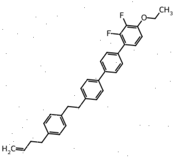 C=CCCc1ccc(CCc2ccc(-c3ccc(-c4ccc(OCC)c(F)c4F)cc3)cc2)cc1